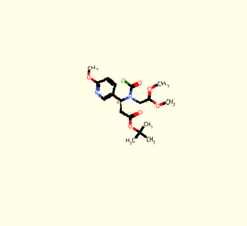 COc1ccc([C@H](CC(=O)OC(C)(C)C)N(CC(OC)OC)C(=O)Cl)cn1